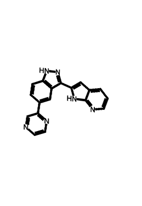 c1cnc2[nH]c(-c3n[nH]c4ccc(-c5cnccn5)cc34)cc2c1